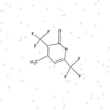 CC1=C(C(F)(F)F)C(=O)[N]C(C(F)(F)F)=[C]1